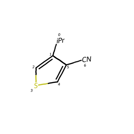 CC(C)c1cscc1C#N